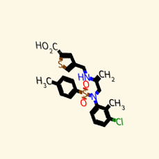 C=C(CN(c1cccc(Cl)c1C)S(=O)(=O)c1ccc(C)cc1)NCc1csc(C(=O)O)c1